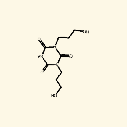 O=c1[nH]c(=O)n(CCCO)c(=O)n1CCCO